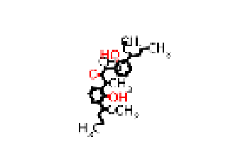 C=C=C(CCC)c1cccc(C(C)C(=O)C(C)c2cccc(C(=C=C)CCC)c2O)c1O